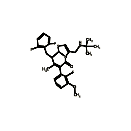 COc1cccc(C2=C(C)C(Cc3c(F)cccc3F)C3SC=C(CNC(C)(C)C)N3C2=O)c1F